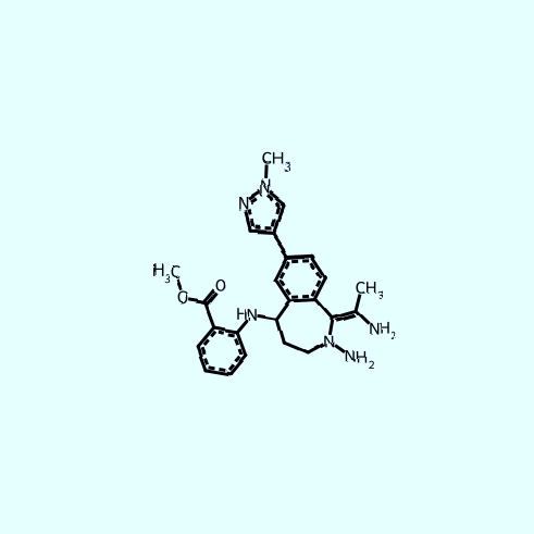 COC(=O)c1ccccc1NC1CCN(N)/C(=C(/C)N)c2ccc(-c3cnn(C)c3)cc21